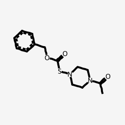 CC(=O)N1CCN(SC(=O)OCc2ccccc2)CC1